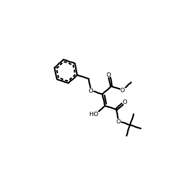 COC(=O)C(OCc1ccccc1)=C(O)C(=O)OC(C)(C)C